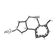 Cc1cccc2c1NCC1CN(C(=O)O)CC21